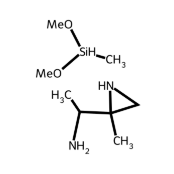 CC(N)C1(C)CN1.CO[SiH](C)OC